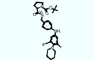 CC(C)(C)OC(=O)N1CCCC1C(=O)NCc1ccc(Nc2cc(F)c(N3CCCCC3)c(F)c2)cc1